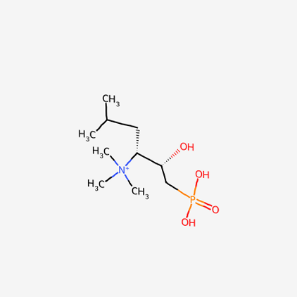 CC(C)C[C@H]([C@H](O)CP(=O)(O)O)[N+](C)(C)C